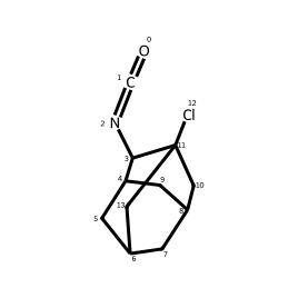 O=C=NC1C2CC3CC(C2)CC1(Cl)C3